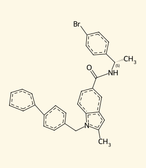 Cc1cc2cc(C(=O)N[C@@H](C)c3ccc(Br)cc3)ccc2n1Cc1ccc(-c2ccccc2)cc1